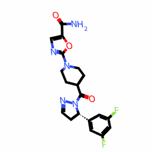 NC(=O)c1cnc(N2CCC(C(=O)N3N=CC[C@H]3c3cc(F)cc(F)c3)CC2)o1